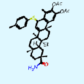 CC[C@@]12CC[C@]3(C)C(=CC(Sc4ccc(C)cc4)c4c3cc(OC(C)=O)c(OC(C)=O)c4C)[C@@]1(C)CC[C@@]1(C)CC[C@@](C)(C(N)=O)C[C@H]12